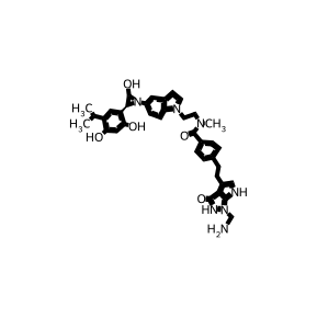 CC(C)c1cc([C@H]2C(O)N2c2ccc3c(ccn3CCN(C)C(=O)c3ccc(CCc4c[nH]c5c4c(=O)[nH]n5CN)cc3)c2)c(O)cc1O